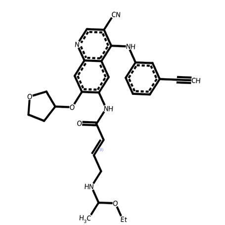 C#Cc1cccc(Nc2c(C#N)cnc3cc(OC4CCOC4)c(NC(=O)/C=C/CNC(C)OCC)cc23)c1